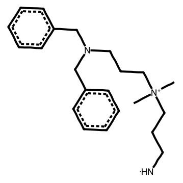 C[N+](C)(CCC[NH])CCCN(Cc1ccccc1)Cc1ccccc1